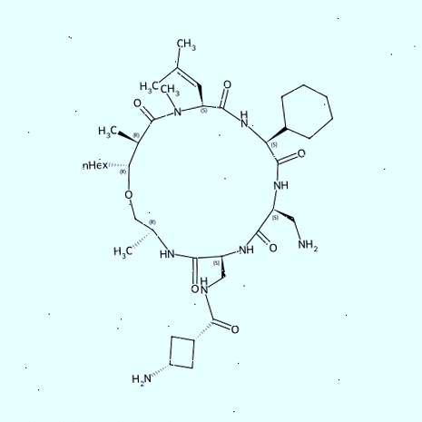 CCCCCC[C@H]1OC[C@@H](C)NC(=O)[C@H](CNC(=O)[C@H]2C[C@@H](N)C2)NC(=O)[C@H](CN)NC(=O)[C@H](C2CCCCC2)NC(=O)[C@H](C=C(C)C)N(C)C(=O)[C@@H]1C